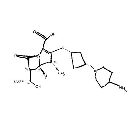 C[C@@H](O)[C@H]1C(=O)N2C(C(=O)O)=C(S[C@H]3C[C@@H](N4CCC(N)CC4)C3)[C@H](C)[C@H]12